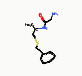 NCC(=O)N[C@@H](CSCc1ccccc1)C(=O)O